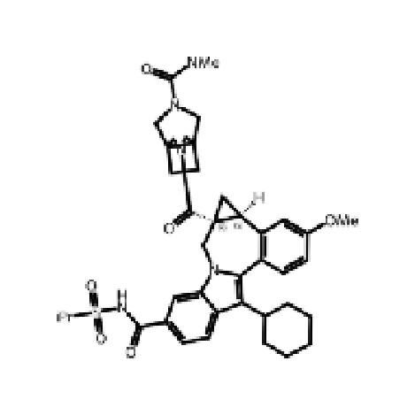 CNC(=O)N1CC23CCC2(C1)CN(C(=O)[C@]12C[C@H]1c1cc(OC)ccc1-c1c(C4CCCCC4)c4ccc(C(=O)NS(=O)(=O)C(C)C)cc4n1C2)C3